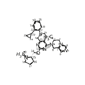 C[C@@H]1Cn2cncc2CN1c1nc(OC[C@@H]2CCCN2C)nc2c1CCN(c1ccccc1C1CC1)C2